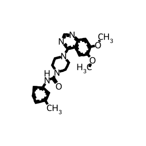 COc1cc2ncnc(N3CCN(C(=O)Nc4cccc(C)c4)CC3)c2cc1OC